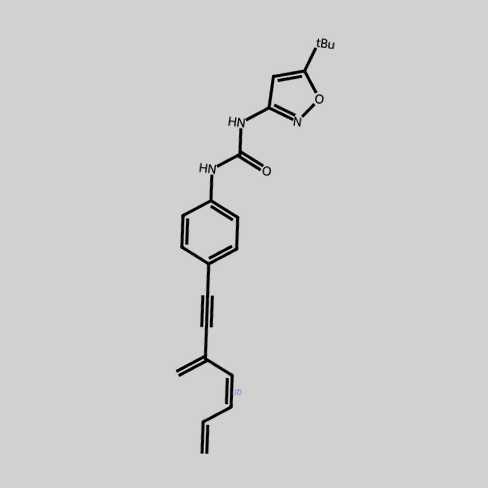 C=C/C=C\C(=C)C#Cc1ccc(NC(=O)Nc2cc(C(C)(C)C)on2)cc1